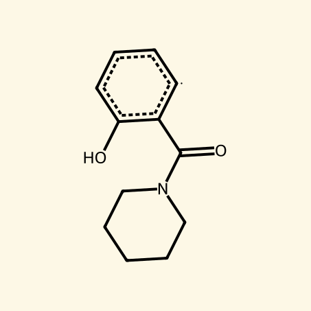 O=C(c1[c]cccc1O)N1CCCCC1